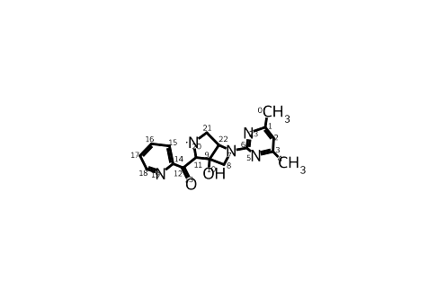 Cc1cc(C)nc(N2CC3(O)C(C(=O)c4ccccn4)[N]CC23)n1